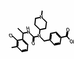 COC(=O)c1ccc(CN(C(=O)NC(C)c2cccc(C)c2Cl)C2CCN(C)CC2)cc1